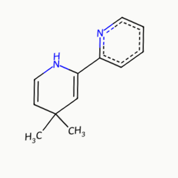 CC1(C)C=CNC(c2ccccn2)=C1